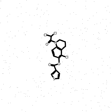 O=C(Oc1ccc2c(c1Cl)CCCN2C(=O)C(Cl)Cl)c1ccsc1